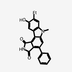 CCc1cc2c(cc1O)c1c3c(c(-c4ccccc4)cc1n2C)C(=O)NC3=O